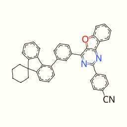 N#Cc1ccc(-c2nc(-c3cccc(-c4cccc5c4-c4ccccc4C54CCCCC4)c3)c3oc4ccccc4c3n2)cc1